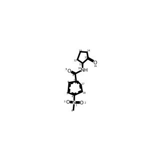 CS(=O)(=O)c1ccc(C(=O)NC2CCCC2=O)cc1